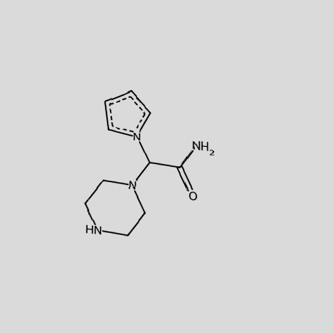 NC(=O)C(N1CCNCC1)n1cccc1